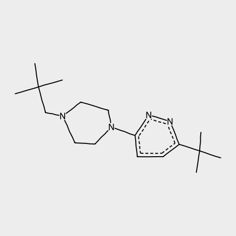 CC(C)(C)CN1CCN(c2ccc(C(C)(C)C)nn2)CC1